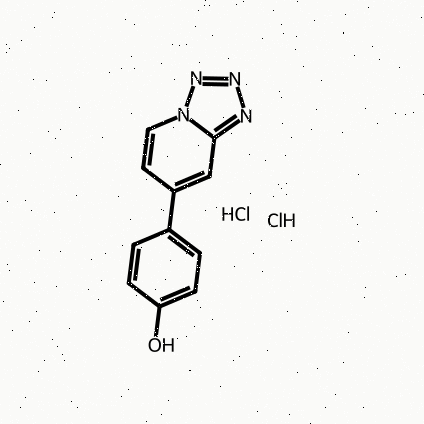 Cl.Cl.Oc1ccc(-c2ccn3nnnc3c2)cc1